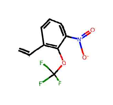 C=[C]c1cccc([N+](=O)[O-])c1OC(F)(F)F